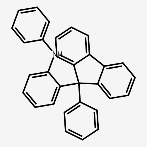 c1ccc(Nc2ccccc2C2(c3ccccc3)c3ccccc3-c3ccccc32)cc1